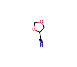 N#CC1COCO1